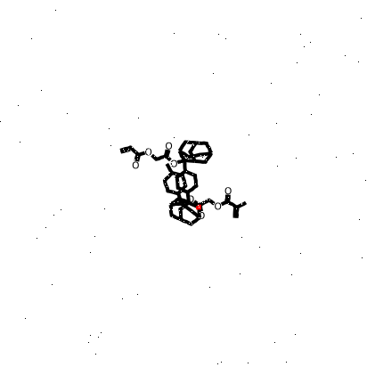 C=CC(=O)OCC(=O)OC1(C2CCC(C34CC5CC(C3)C(OC(=O)COC(=O)C(=C)C)(C3CCC(C)CC3)C(C5)C4)CC2)C2CC3CC(C2)CC1C3